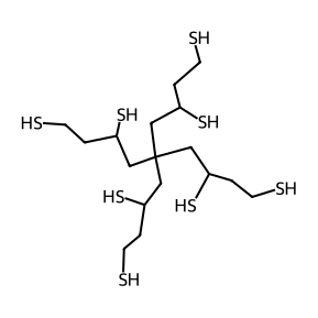 SCCC(S)CC(CC(S)CCS)(CC(S)CCS)CC(S)CCS